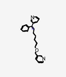 C(/CCCCCOCc1cccnc1)=C(/c1ccccc1)c1cccnc1